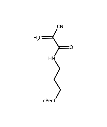 C=C(C#N)C(=O)NCCCCCCCC